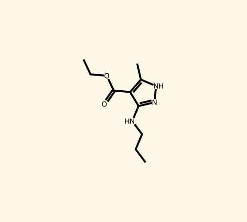 CCCNc1n[nH]c(C)c1C(=O)OCC